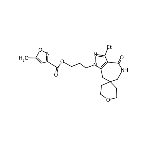 CCc1nn(CCCOC(=O)c2cc(C)on2)c2c1C(=O)NCC1(CCOCC1)C2